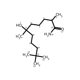 CC(CCCC(C)(O)CCCC(C)(C)C)C(N)=O